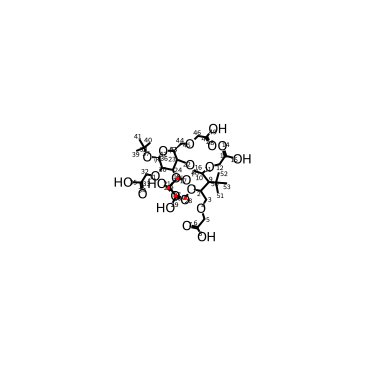 COC(COCC(=O)O)C(C(OCC(=O)O)[C@H](OCC(=O)O)OC1C(OCC(=O)O)C(OCC(=O)O)[C@@H](OC(C)(C)C)O[C@H]1COCC(=O)O)C(C)(C)C